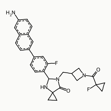 Nc1ccc2cc(-c3ccc(C4NC5(CC5)C(=O)N4CC4CN(C(=O)C5(F)CC5)C4)c(F)c3)ccc2c1